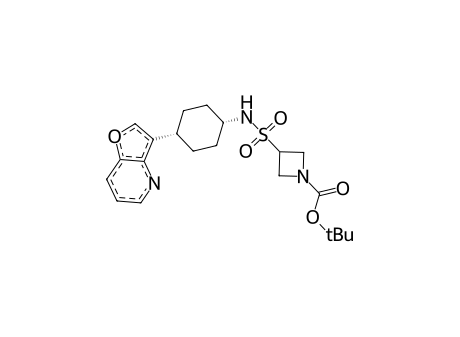 CC(C)(C)OC(=O)N1CC(S(=O)(=O)N[C@H]2CC[C@@H](c3coc4cccnc43)CC2)C1